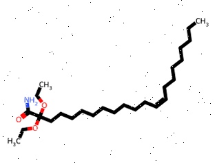 CCCCCCCC/C=C\CCCCCCCCCCC(OCC)(OCC)C(N)=O